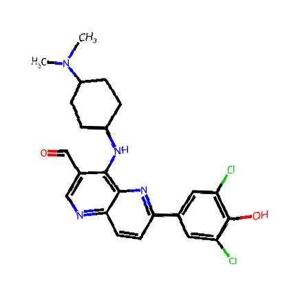 CN(C)C1CCC(Nc2c(C=O)cnc3ccc(-c4cc(Cl)c(O)c(Cl)c4)nc23)CC1